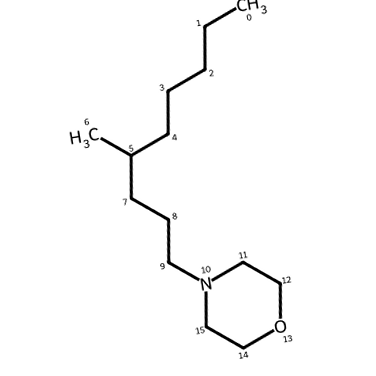 CCCCCC(C)CCCN1CCOCC1